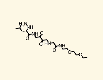 CCOCCOCCNC(=O)CNCC(=O)C(=O)CNC(=O)[C@H](CC(C)C)NN